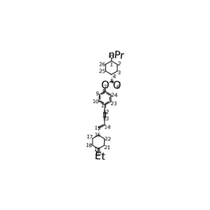 CCC[C@H]1CC[C@H](C(=O)Oc2ccc(C#C/C=C/[C@H]3CC[C@H](CC)CC3)cc2)CC1